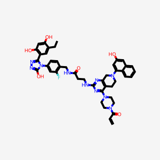 C=CC(=O)N1CCN(c2nc(NCCC(=O)NCc3ccc(-n4c(O)nnc4-c4cc(CC)c(O)cc4O)cc3F)nc3c2CCN(c2cc(O)cc4ccccc24)C3)CC1